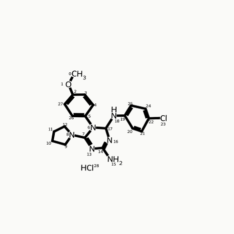 COc1ccc(N2C(N3CCCC3)=NC(N)=NC2Nc2ccc(Cl)cc2)cc1.Cl